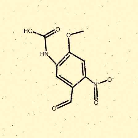 COc1cc([N+](=O)[O-])c(C=O)cc1NC(=O)O